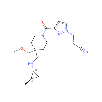 COCC1(CN[C@@H]2C[C@H]2C)CCN(C(=O)c2ccn(CCC#N)n2)CC1